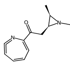 C[C@@H]1[C@H](CC(=O)C2=CC=CC=C=N2)N1C